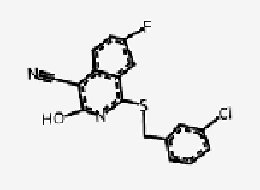 N#Cc1c(O)nc(SCc2cccc(Cl)c2)c2cc(F)ccc12